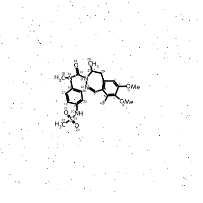 COc1cc2c(c(F)c1OC)C=NN(C(=O)N(C)c1ccc(NS(C)(=O)=O)cc1)C(C)C2